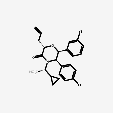 C=CC[C@@H]1O[C@@H](c2cccc(Cl)c2)[C@@H](c2ccc(Cl)cc2)N([C@@H](C(=O)O)C2CC2)C1=O